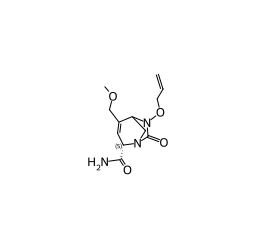 C=CCON1C(=O)N2CC1C(COC)=C[C@H]2C(N)=O